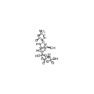 C#C[C@]1(COP(=O)(O)OP(=O)(O)OP(=O)(O)O)OC(n2ccc(N)nc2=O)[C@@H](F)[C@@H]1O